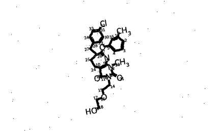 Cc1cccc(OC2=Nc3c(c(=O)n(CCOCCO)c(=O)n3C)CCC2Cc2ccc(Cl)cc2)c1